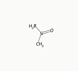 B[Si](C)=O